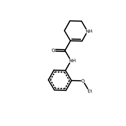 CCOc1ccccc1NC(=O)C1=CNCCC1